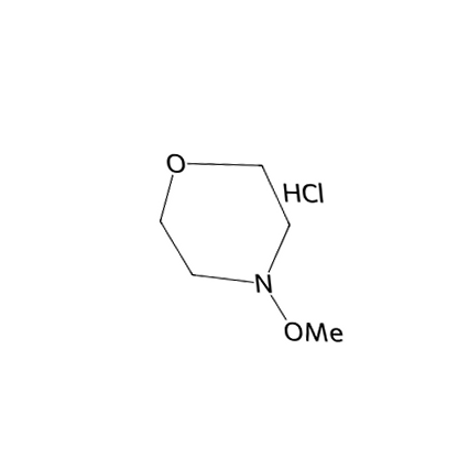 CON1CCOCC1.Cl